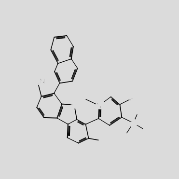 Cc1ccc2c(oc3c(-c4ccc5ccccc5c4)c(C#N)ccc32)c1-c1cc([Si](C)(C)C)c(F)c[n+]1C